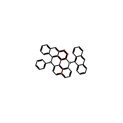 c1ccc(N(c2ccccc2-c2ccccc2N(c2ccccc2)c2c3ccccc3cc3ccccc23)c2c3ccccc3cc3ccccc23)cc1